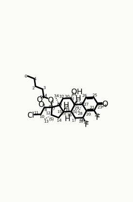 CCCCC(=O)O[C@]1(C(=O)CCl)[C@@H](C)C[C@H]2[C@@H]3C[C@H](F)C4=C(F)C(=O)C=C[C@]4(C)[C@H]3[C@@H](O)C[C@@]21C